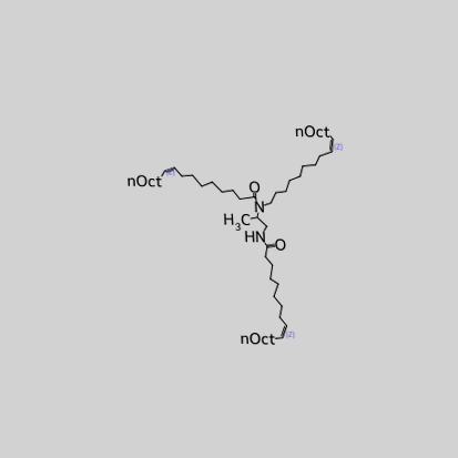 CCCCCCCC/C=C\CCCCCCCCN(C(=O)CCCCCCC/C=C\CCCCCCCC)C(C)CNC(=O)CCCCCCC/C=C\CCCCCCCC